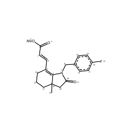 COC(=O)C=CC1=C2N(Cc3ccc(F)cc3)C(=O)CC2(C)CCC1